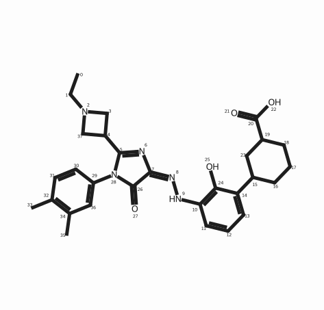 CCN1CC(C2=NC(=NNc3cccc(C4CCCC(C(=O)O)C4)c3O)C(=O)N2c2ccc(C)c(C)c2)C1